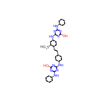 O=S(=O)(O)c1cc(Nc2nc(O)nc(Nc3ccccc3)n2)ccc1/C=C/c1ccc(Nc2nc(O)nc(Nc3ccccc3)n2)cc1